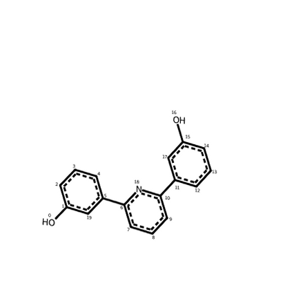 Oc1cccc(-c2cccc(-c3cccc(O)c3)n2)c1